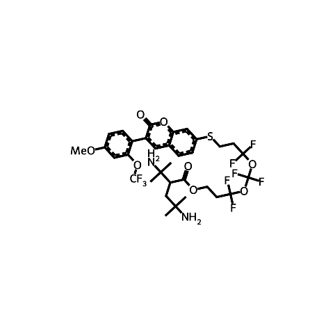 COc1ccc(-c2cc3ccc(SCCC(F)(F)OC(F)(F)OC(F)(F)CCOC(=O)C(CC(C)(C)N)C(C)(C)N)cc3oc2=O)c(OC(F)(F)F)c1